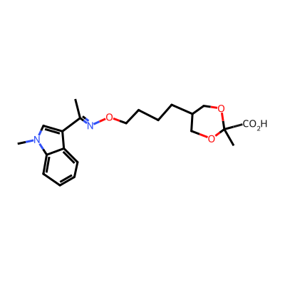 CC(=NOCCCCC1COC(C)(C(=O)O)OC1)c1cn(C)c2ccccc12